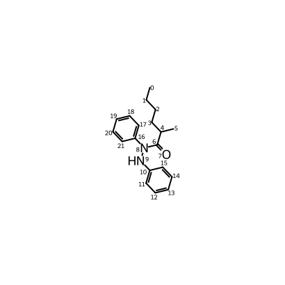 CCCCC(C)C(=O)N(Nc1ccccc1)c1ccccc1